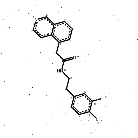 O=C(Cc1cccc2cnccc12)NCCc1ccc(C(F)(F)F)c(F)c1